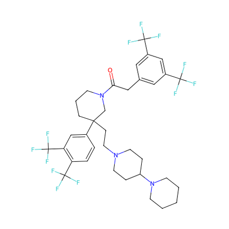 O=C(Cc1cc(C(F)(F)F)cc(C(F)(F)F)c1)N1CCCC(CCN2CCC(N3CCCCC3)CC2)(c2ccc(C(F)(F)F)c(C(F)(F)F)c2)C1